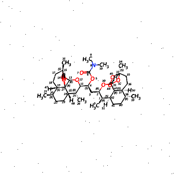 C[C@H]1[C@@H](C[C@H](OC(=O)N(C)C)C2O[C@@H]3O[C@]4(C)CC[C@H]5[C@H](C)CC[C@@H]([C@H]2C)[C@@]35OO4)O[C@@H]2O[C@]3(C)CC[C@H]4[C@H](C)CC[C@@H]1[C@@]24OO3